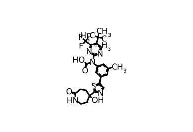 Cc1cc(-c2cnc(C3(O)CCNC(=O)CC3)s2)cc(N(C(=O)O)c2ncc(C(C)(C)C)c(C(F)(F)F)n2)c1